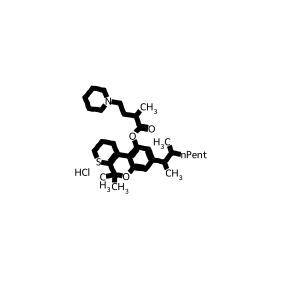 CCCCCC(C)C(C)c1cc(OC(=O)C(C)CCN2CCCCC2)c2c(c1)OC(C)(C)C1=C2CCCS1.Cl